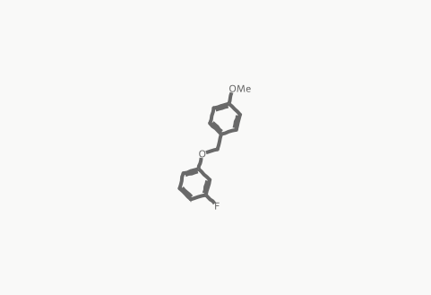 COc1ccc(COc2cc[c]c(F)c2)cc1